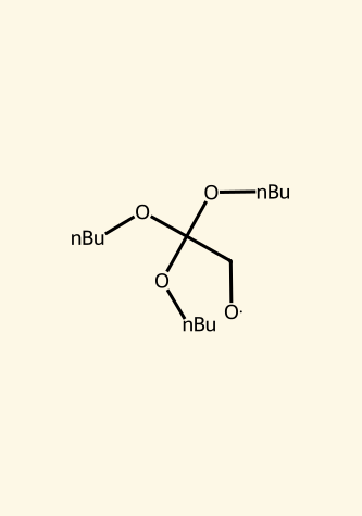 CCCCOC(C[O])(OCCCC)OCCCC